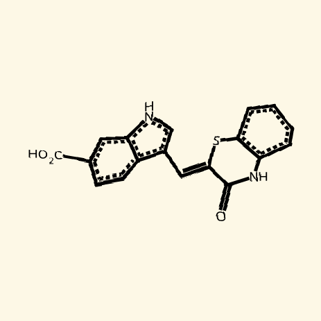 O=C1Nc2ccccc2SC1=Cc1c[nH]c2cc(C(=O)O)ccc12